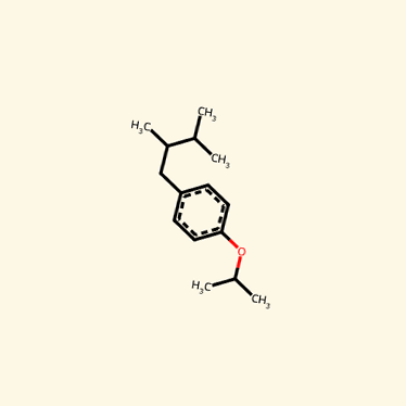 CC(C)Oc1ccc(CC(C)C(C)C)cc1